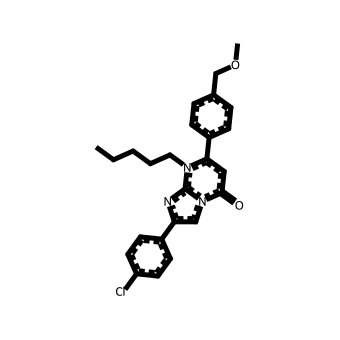 CCCCCn1c(-c2ccc(COC)cc2)cc(=O)n2cc(-c3ccc(Cl)cc3)nc12